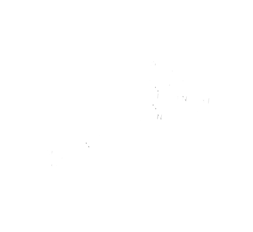 N#CC1(NC(=O)C2CCCCC2c2nn(-c3cccc(Cl)c3)cc2-c2ccc(N3CCS(=O)(=O)CC3)cc2)CC1